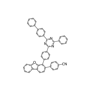 N#Cc1ccc(-c2ccc3c(oc4ccccc43)c2-c2ccc(-c3nc(-c4ccccc4)nc(-c4ccc(-c5ccccc5)cc4)n3)cc2)cc1